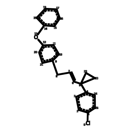 Clc1ccc(C2(C=CCc3ccc(Oc4ccccc4)cc3)CC2)cc1